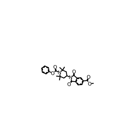 COC(=O)c1ccc2c(c1)C(=O)N(C1CC(C)(C)N(C(=O)Oc3ccccc3)C(C)(C)C1)C2=O